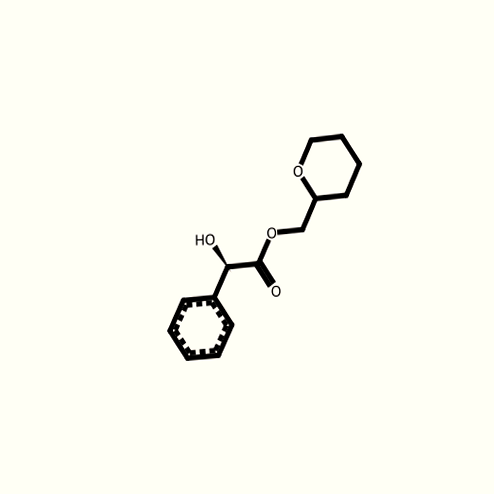 O=C(OCC1CCCCO1)[C@H](O)c1ccccc1